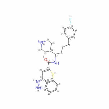 O=C(NC(CCCc1ccc(F)cc1)C1CCNCC1)C1=Cc2n[nH]c3cccc(c23)S1